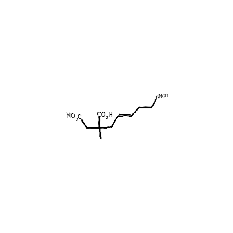 CCCCCCCCCCCC=CCC(C)(CC(=O)O)C(=O)O